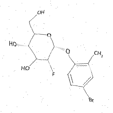 Cc1cc(Br)ccc1O[C@H]1OC(CO)[C@@H](O)C(O)C1F